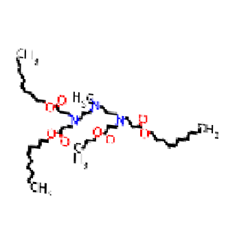 CCCCC/C=C\CCCOC(=O)CCN(CCCN(C)CCCN(CCC(=O)OCCC/C=C\CCCCC)CCC(=O)OCCC/C=C\CCCCC)CCC(=O)OCCCC